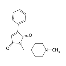 CN1CCC(CN2C(=O)C=C(c3ccccc3)C2=O)CC1